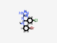 CN(C1=NC2NN=NN2c2cc(Cl)ccc21)c1cccc(Br)c1